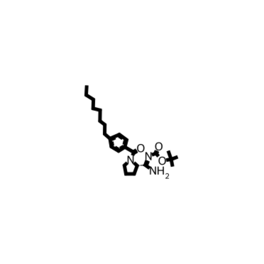 CCCCCCCCc1ccc(C(=O)N2CCC[C@H]2C(N)=NC(=O)OC(C)(C)C)cc1